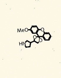 COc1ccc2c(c1)C1(OCC(C3CCNC3)O1)c1ccccc1O2